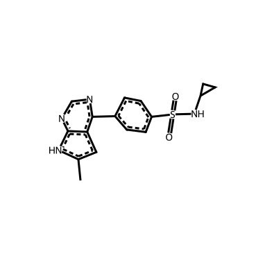 Cc1cc2c(-c3ccc(S(=O)(=O)NC4CC4)cc3)ncnc2[nH]1